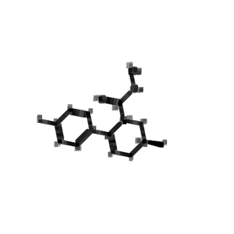 Cc1ccc(C2=CC[C@H](C)CN2C(=O)OC(C)(C)C)cc1